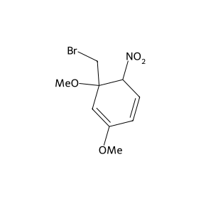 COC1=CC(CBr)(OC)C([N+](=O)[O-])C=C1